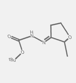 CC1OCCC1=NNC(=O)OC(C)(C)C